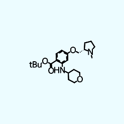 CN1CCC[C@H]1COc1ccc(C(=O)OC(C)(C)C)c(NC2CCOCC2)c1